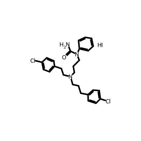 I.NC(=O)N(CCCN(CCCc1ccc(Cl)cc1)CCc1ccc(Cl)cc1)c1ccccc1